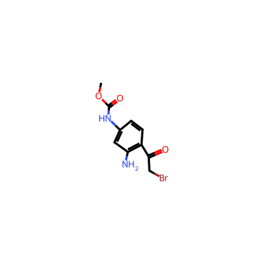 COC(=O)Nc1ccc(C(=O)CBr)c(N)c1